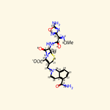 CO/N=C(\C(=O)NC1C(=O)N2C(C(=O)[O-])=C(C[n+]3ccc4c(C(N)=O)cccc4c3)CS[C@H]12)c1noc(N)n1